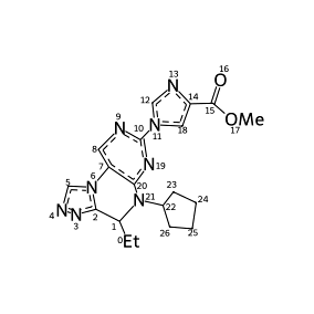 CCC1c2nncn2-c2cnc(-n3cnc(C(=O)OC)c3)nc2N1C1CCCC1